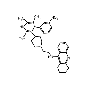 CC1=C(C)C(c2cccc([N+](=O)[O-])c2)C(C2CCN(CCNc3c4c(nc5ccccc35)CCCC4)CC2)=C(C)N1